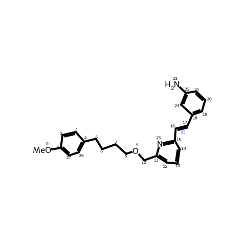 COc1ccc(CCCCOCc2cccc(/C=C/c3cccc(N)c3)n2)cc1